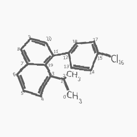 CC(C)c1cccc2cccc(-c3ccc(Cl)cc3)c12